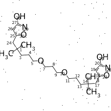 CC(C)(CCCOCCCOCCCC(C)(C)Cc1cc(O)no1)Cc1cc(O)no1